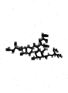 CCc1cc(OCCN(C)C)c(F)c(C(=N\c2ccc(Br)c(CNC(=O)OC(C)(C)C)c2)/C(=N/C(=O)OC)SC)c1